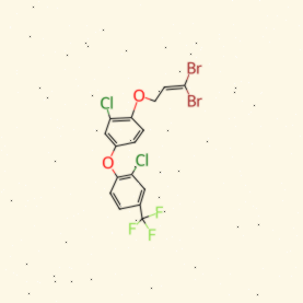 FC(F)(F)c1ccc(Oc2ccc(OCC=C(Br)Br)c(Cl)c2)c(Cl)c1